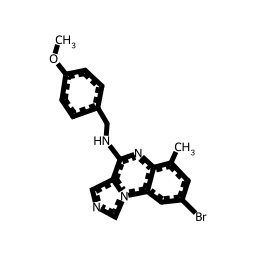 COc1ccc(CNc2nc3c(C)cc(Br)cc3n3cncc23)cc1